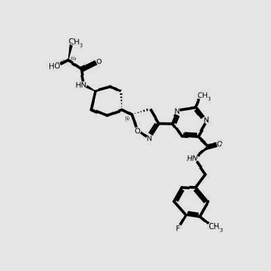 Cc1nc(C(=O)NCc2ccc(F)c(C)c2)cc(C2=NO[C@H]([C@H]3CC[C@H](NC(=O)[C@H](C)O)CC3)C2)n1